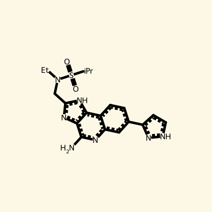 CCN(Cc1nc2c(N)nc3cc(-c4cc[nH]n4)ccc3c2[nH]1)S(=O)(=O)C(C)C